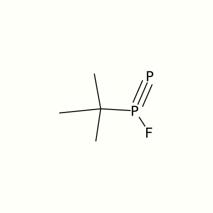 CC(C)(C)P(F)#P